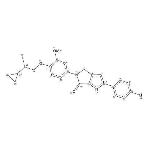 COc1cc(N2Cc3cn(-c4ccc(Cl)cc4)nc3C2=O)ccc1OCC(I)C1CC1